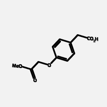 COC(=O)COc1ccc(CC(=O)O)cc1